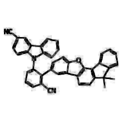 CC1(C)c2ccccc2-c2c1ccc1c2oc2ccc(-c3c(C#N)cccc3-n3c4ccccc4c4cc(C#N)ccc43)cc21